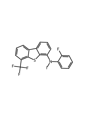 Fc1ccccc1N(I)c1cccc2c1sc1c(C(F)(F)F)cccc12